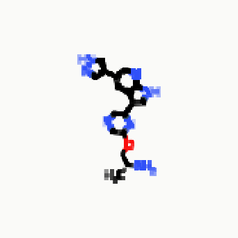 C[C@@H](N)COc1cncc(-c2c[nH]c3ncc(-c4cn[nH]c4)cc23)n1